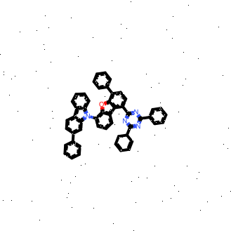 C1=CCC(c2nc(-c3ccccc3)nc(-c3ccc(-c4ccccc4)c4oc5c(-n6c7ccccc7c7ccc(-c8ccccc8)cc76)cccc5c34)n2)C=C1